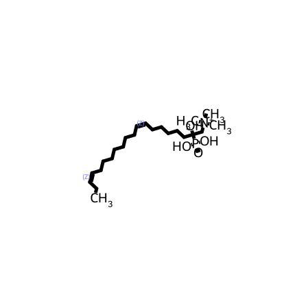 CC/C=C\CCCCCCC/C=C\CCCCCC(O)(C[N+](C)(C)C)P(=O)(O)O